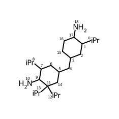 CC(C)C1CC(CC2CC(C(C)C)C(N)C(C(C)C)(C(C)C)C2)CCC1N